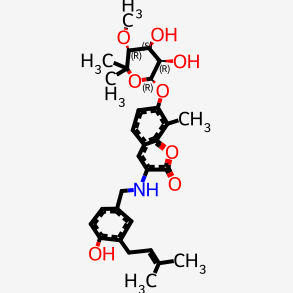 CO[C@@H]1[C@@H](O)[C@@H](O)[C@H](Oc2ccc3cc(NCc4ccc(O)c(CC=C(C)C)c4)c(=O)oc3c2C)OC1(C)C